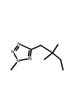 CCC(C)(C)Cc1nnn(C)n1